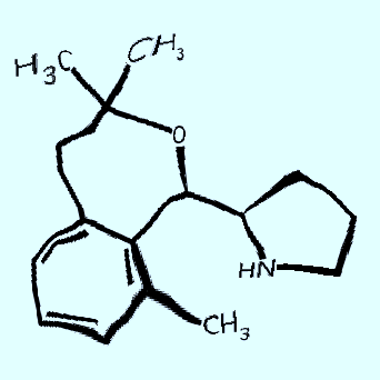 Cc1cccc2c1[C@H]([C@H]1CCCN1)OC(C)(C)C2